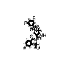 CC1(C)c2[nH]nc(NC(=O)c3ccc(F)cc3NC=O)c2CN1S(=O)(=O)c1cc(F)cc(F)c1